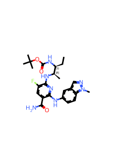 CC[C@H](NC(=O)OC(C)(C)C)[C@@H](C)Nc1nc(Nc2ccc3c(cnn3C)c2)c(C(N)=O)cc1F